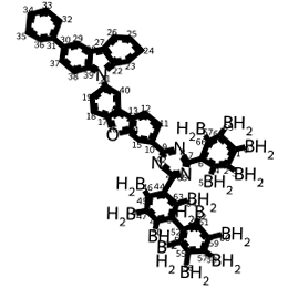 Bc1c(B)c(B)c(-c2nc(-c3ccc4c(c3)oc3ccc(-n5c6ccccc6c6cc(-c7ccccc7)ccc65)cc34)nc(-c3c(B)c(B)c(B)c(-c4c(B)c(B)c(B)c(B)c4B)c3B)n2)c(B)c1B